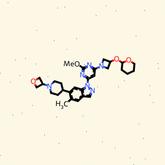 COc1nc(N2CC(OC3CCCCO3)C2)cc(-n2ncc3cc(C)c(C4CCN(C5COC5)CC4)cc32)n1